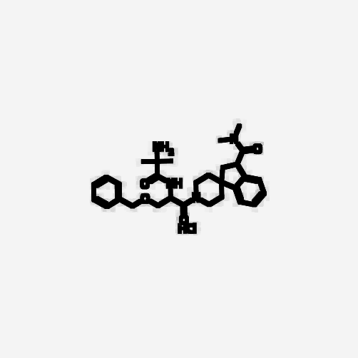 CN(C)C(=O)C1CC2(CCN(C(=O)C(COCc3ccccc3)NC(=O)C(C)(C)N)CC2)c2ccccc21.Cl